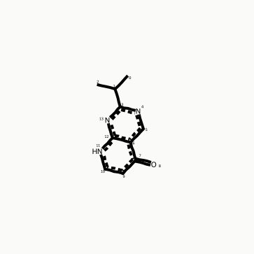 CC(C)c1ncc2c(=O)cc[nH]c2n1